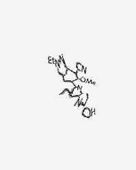 CCn1cc2cc(-c3ncc4nc(O)ccc4n3)c(OC)c(C#N)c2n1